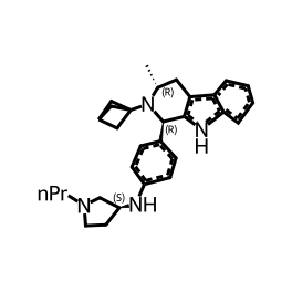 CCCN1CC[C@H](Nc2ccc([C@@H]3c4[nH]c5ccccc5c4C[C@@H](C)N3C34CC(C3)C4)cc2)C1